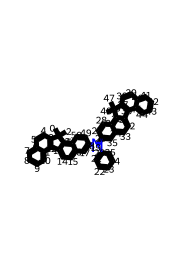 CC1(C)c2ccc3ccccc3c2-c2ccc3cc(N(c4ccccc4)c4ccc5c6c(ccc5c4)-c4c(ccc5ccccc45)C6(C)C)ccc3c21